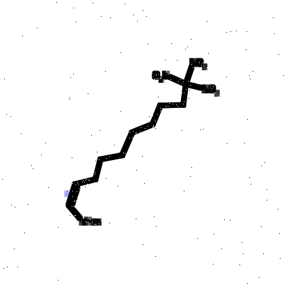 CCCCCC/C=C\CCCCCCCC([N+](=O)[O-])([N+](=O)[O-])[N+](=O)[O-]